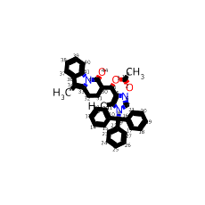 CC(=O)OC(c1ncn(C(c2ccccc2)(c2ccccc2)c2ccccc2)c1C)C1CCc2c(C)c3ccccc3n2C1=O